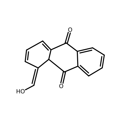 O=C1C2=CC=CC(=CO)C2C(=O)c2ccccc21